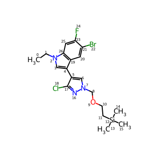 CCn1cc(-c2cn(COCC[Si](C)(C)C)nc2Cl)c2cc(Br)c(F)cc21